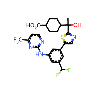 CC(O)(c1ncc(-c2cc(Nc3nccc(C(F)(F)F)n3)cc(C(F)F)c2)s1)C1CCC(C(=O)O)CC1